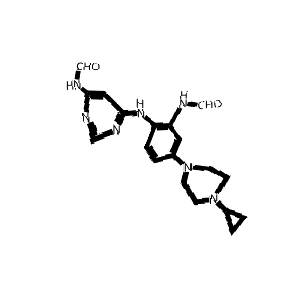 O=CNc1cc(Nc2ccc(N3CCN(C4CC4)CC3)cc2NC=O)ncn1